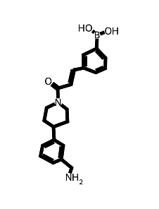 NCc1cccc(C2CCN(C(=O)/C=C/c3cccc(B(O)O)c3)CC2)c1